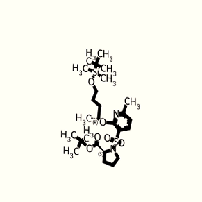 Cc1ccc(S(=O)(=O)N2CCC[C@H]2C(=O)OC(C)(C)C)c(O[C@H](C)CCCO[Si](C)(C)C(C)(C)C)n1